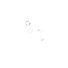 CN(C)CCCN(C)C(=O)CSC1CCCCC1Sc1ccccc1Cl